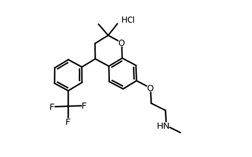 CNCCOc1ccc2c(c1)OC(C)(C)CC2c1cccc(C(F)(F)F)c1.Cl